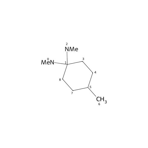 CNC1(NC)CCC(C)CC1